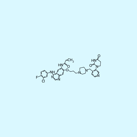 C=CC(=O)Nc1cc2c(Nc3ccc(F)c(Cl)c3)ncnc2cc1OCCCN1CCN(Cc2ccncc2N2CCC(=O)NC2=O)CC1